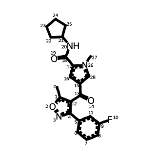 Cc1onc(-c2cccc(F)c2)c1C(=O)c1cc(C(=O)NC2CCCC2)n(C)c1